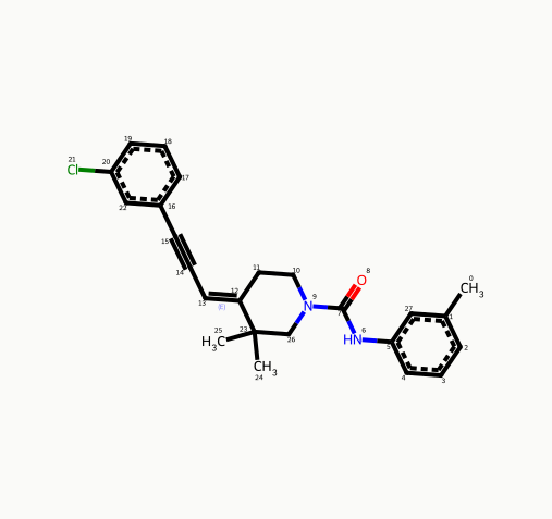 Cc1cccc(NC(=O)N2CC/C(=C\C#Cc3cccc(Cl)c3)C(C)(C)C2)c1